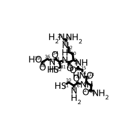 NC(=O)CC(NC(=O)C(N)CS)C(=O)NCC(=O)NC(CCCN=C(N)N)C(=O)NC(CS)C(=O)NCC(=O)O